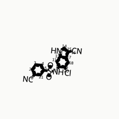 N#Cc1cccc(S(=O)(=O)Nc2cc3[nH]cc(C#N)c3cc2Cl)c1